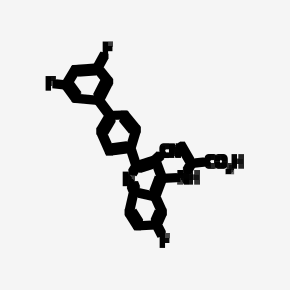 CC(Nc1c(C#N)c(-c2ccc(-c3cc(F)cc(F)c3)cc2)nc2ccc(F)cc12)C(=O)O